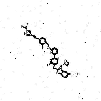 O=C(O)c1ccc2nc(Cc3cc(F)c(-c4cccc(OCc5ccc(C#Cc6cnn(C(F)F)c6)cc5F)n4)cc3F)n(C[C@@H]3CCO3)c2c1